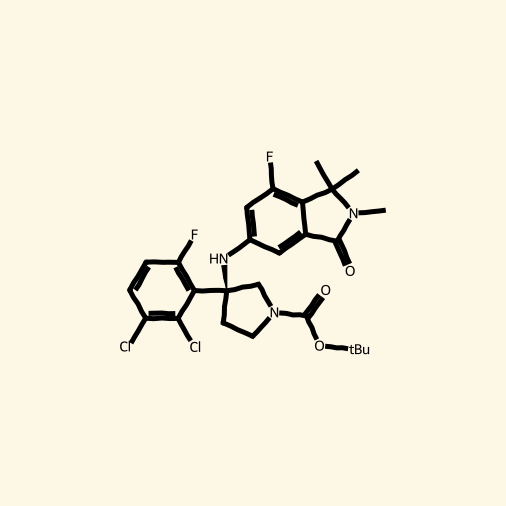 CN1C(=O)c2cc(N[C@]3(c4c(F)ccc(Cl)c4Cl)CCN(C(=O)OC(C)(C)C)C3)cc(F)c2C1(C)C